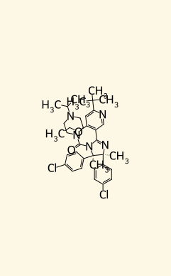 CCOc1cc(C(C)(C)C)ncc1C1=N[C@@](C)(c2ccc(Cl)cc2)[C@@](C)(c2ccc(Cl)cc2)N1C(=O)N1CCN(C(C)C)CC1